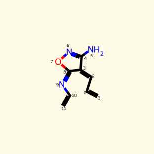 C=C/C=C1/C(N)=NO/C1=N/C=C